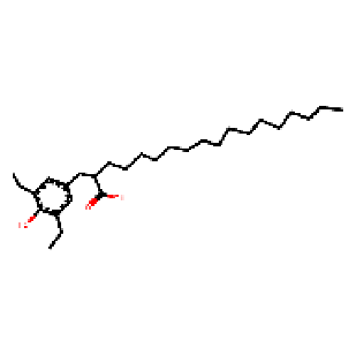 CCCCCCCCCCCCCCCCC(Cc1cc(CC)c(O)c(CC)c1)C(=O)O